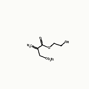 C=C(CC(=O)OCC)C(=O)OCCO